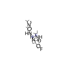 C=CN(C=C(C)C)c1ccc(NC/N=C2\C(=C(/C)CC)NC(=O)C3C(c4ccc(F)cc4)CCN23)cc1C